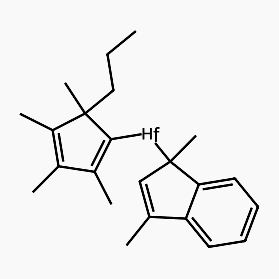 CCCC1(C)C(C)=C(C)C(C)=[C]1[Hf][C]1(C)C=C(C)c2ccccc21